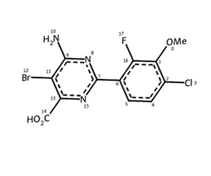 COc1c(Cl)ccc(-c2nc(N)c(Br)c(C(=O)O)n2)c1F